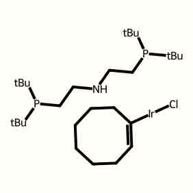 CC(C)(C)P(CCNCCP(C(C)(C)C)C(C)(C)C)C(C)(C)C.[Cl][Ir]/[C]1=C/CCCCCC1